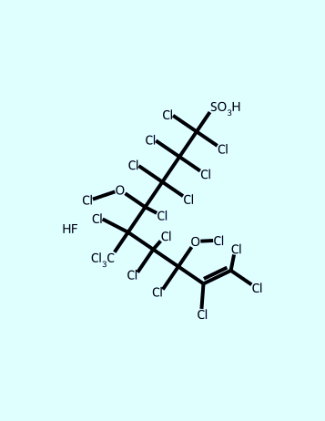 F.O=S(=O)(O)C(Cl)(Cl)C(Cl)(Cl)C(Cl)(Cl)C(Cl)(OCl)C(Cl)(C(Cl)(Cl)Cl)C(Cl)(Cl)C(Cl)(OCl)C(Cl)=C(Cl)Cl